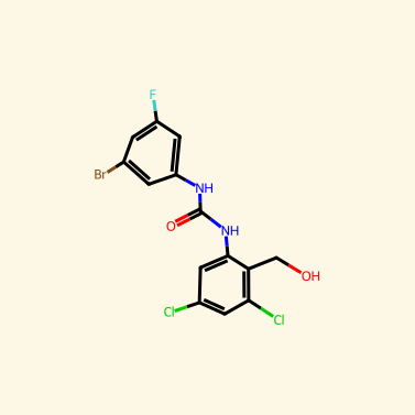 O=C(Nc1cc(F)cc(Br)c1)Nc1cc(Cl)cc(Cl)c1CO